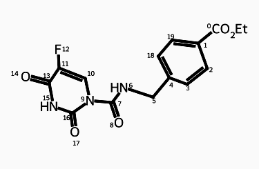 CCOC(=O)c1ccc(CNC(=O)n2cc(F)c(=O)[nH]c2=O)cc1